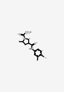 Cc1cc(NC(=O)C2CC(C)N(C(=O)C(=O)O)C2)ccc1F